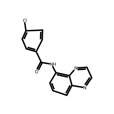 O=C(Nc1cccc2nccnc12)c1ccc(Cl)cc1